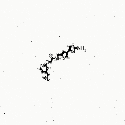 CN(C)Cc1ccnc(OCC(=O)NCc2cc(-c3csc(N)n3)cs2)c1